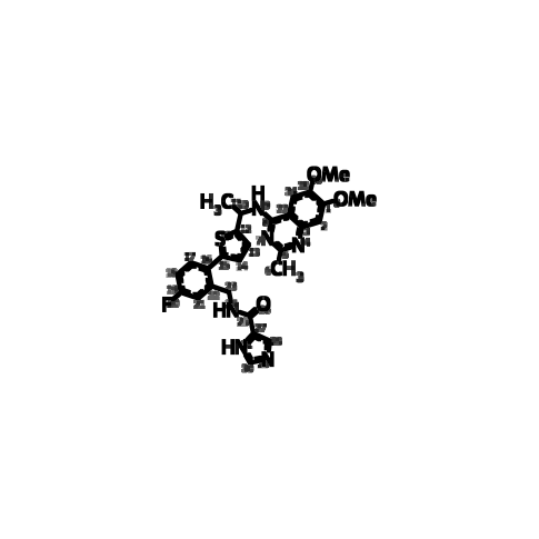 COc1cc2nc(C)nc(NC(C)c3ccc(-c4ccc(F)cc4CNC(=O)c4cnc[nH]4)s3)c2cc1OC